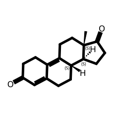 C[C@]12CCC3=C4CCC(=O)C=C4CC[C@H]3[C@@H]1CCC2=O